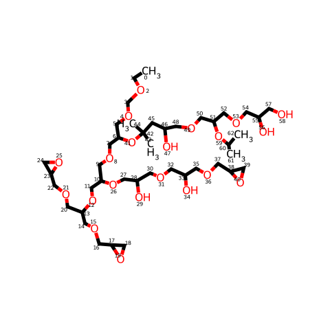 CCOCOCC(COCC(COC(COCC1CO1)COCC1CO1)OCC(O)COCC(O)COCC1CO1)OC(C)(C)CC(O)COCC(COCC(O)CO)OC(C)C